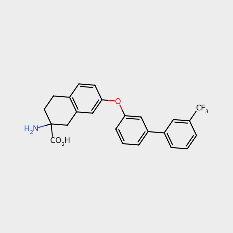 NC1(C(=O)O)CCc2ccc(Oc3cccc(-c4cccc(C(F)(F)F)c4)c3)cc2C1